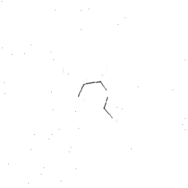 CCCCO[C@@H](C)[C@@H](C)O